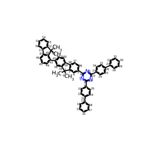 CC1(C)c2cc(-c3nc(-c4ccc(-c5ccccc5)cc4)nc(-c4ccc(-c5ccccc5)cc4)n3)ccc2-c2ccc(-c3cccc4c3C(C)(C)c3ccccc3-4)cc21